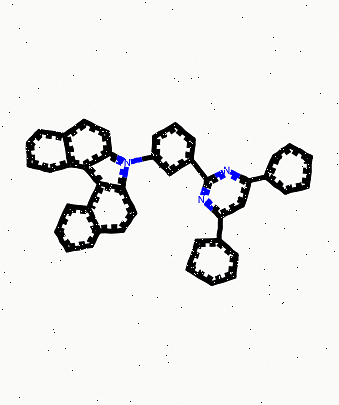 c1ccc(-c2cc(-c3ccccc3)nc(-c3cccc(-n4c5ccc6ccccc6c5c5c6ccccc6ccc54)c3)n2)cc1